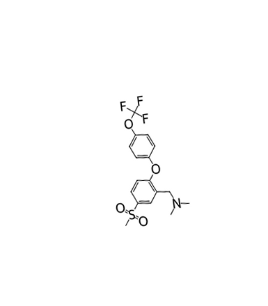 CN(C)Cc1cc(S(C)(=O)=O)ccc1Oc1ccc(OC(F)(F)F)cc1